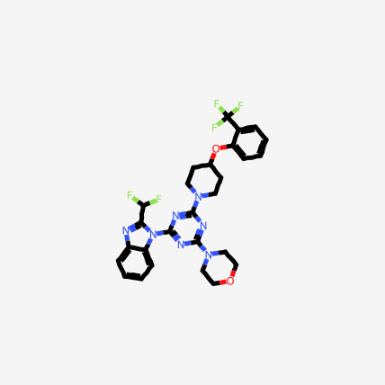 FC(F)c1nc2ccccc2n1-c1nc(N2CCOCC2)nc(N2CCC(Oc3ccccc3C(F)(F)F)CC2)n1